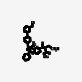 CCOc1cccc(-c2ccc(CC(N)(c3cccc(C(=O)N(CC(=O)O)C(=O)OC(C)(C)C)n3)S(=O)(=O)c3ccccc3)cc2)c1